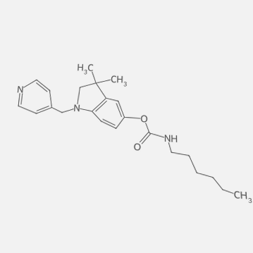 CCCCCCNC(=O)Oc1ccc2c(c1)C(C)(C)CN2Cc1ccncc1